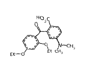 CCOc1ccc(C(=O)c2cc(N(C)C)ccc2C(=O)O)c(OCC)c1